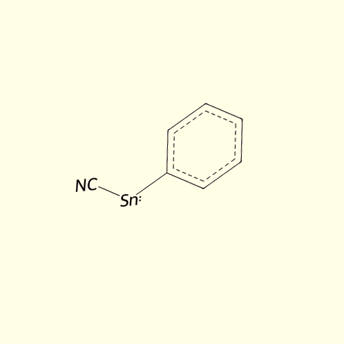 N#[C][Sn][c]1ccccc1